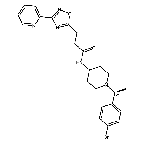 C[C@@H](c1ccc(Br)cc1)N1CCC(NC(=O)CCc2nc(-c3ccccn3)no2)CC1